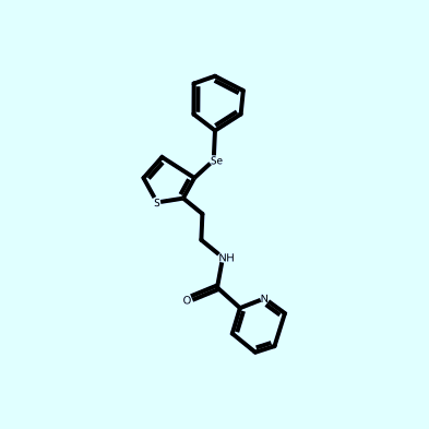 O=C(NCCc1sccc1[Se]c1ccccc1)c1ccccn1